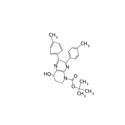 Cc1ccc(-c2nc3c(nc2-c2ccc(C)cc2)N(C(=O)OC(C)(C)C)CCC3O)cc1